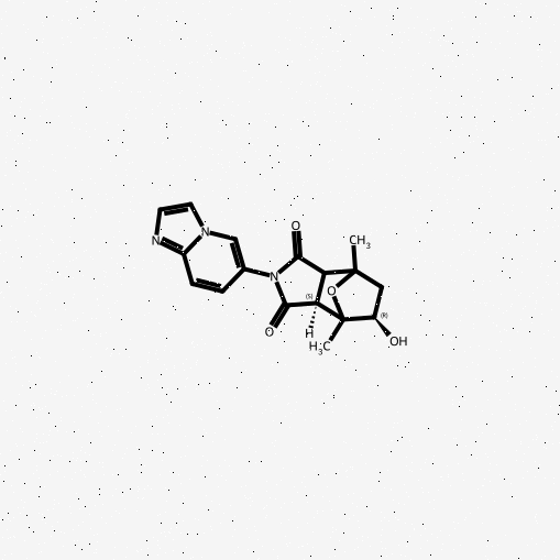 CC12C[C@@H](O)C(C)(O1)[C@H]1C(=O)N(c3ccc4nccn4c3)C(=O)C12